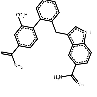 N=C(N)c1ccc2[nH]cc(Cc3ccccc3-c3ccc(C(N)=O)cc3C(=O)O)c2c1